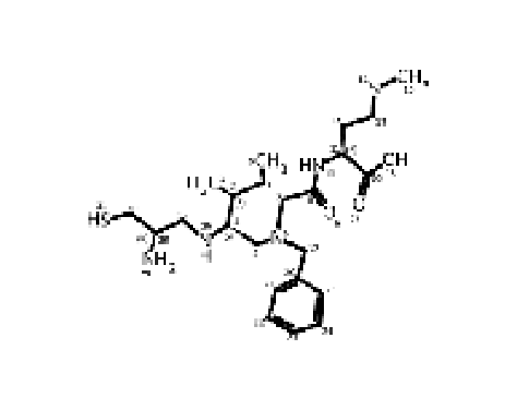 CC[C@H](C)[C@@H](CN(CC(=O)N[C@@H](CCSC)C(=O)O)Cc1ccccc1)NC[C@@H](N)CS